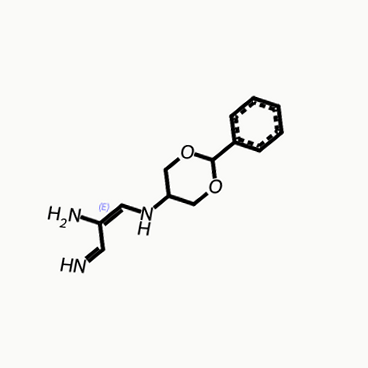 N=C/C(N)=C\NC1COC(c2ccccc2)OC1